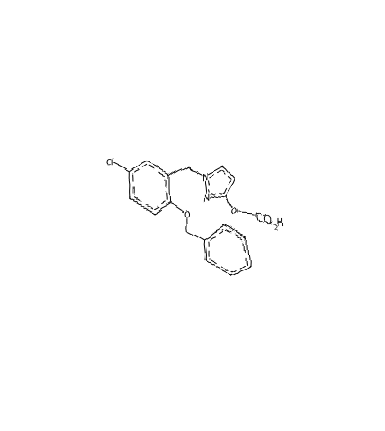 O=C(O)Oc1ccn(Cc2cc(Cl)ccc2OCc2ccccc2)n1